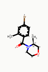 Cc1cc(Br)ccc1C(=O)N1CCOC[C@@H]1C